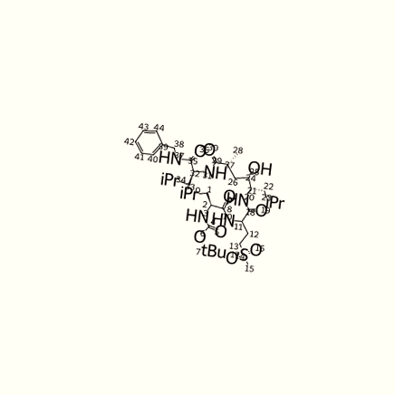 CC(C)C[C@H](NC(=O)OC(C)(C)C)C(=O)NC(CCS(C)(=O)=O)C(=O)N[C@@H](CC(C)C)[C@@H](O)C[C@@H](C)C(=O)N[C@@H](CC(C)C)C(=O)NCc1ccccc1